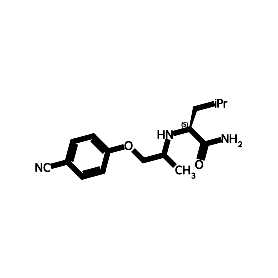 CC(C)C[C@H](NC(C)COc1ccc(C#N)cc1)C(N)=O